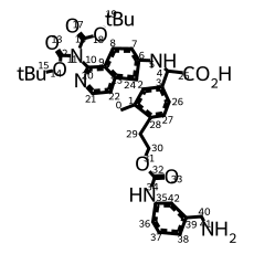 Cc1cc(C(Nc2ccc3c(N(C(=O)OC(C)(C)C)C(=O)OC(C)(C)C)nccc3c2)C(=O)O)ccc1CCOC(=O)Nc1cccc(CN)c1